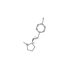 CN1CCC[C@@H]1/C=C/c1ccc(F)cc1